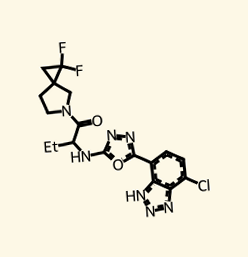 CCC(Nc1nnc(-c2ccc(Cl)c3nn[nH]c23)o1)C(=O)N1CCC2(C1)CC2(F)F